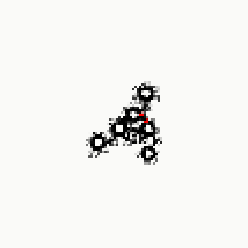 Cc1ccc(Cc2ccccc2)c(C)c1[Si](Cl)(c1c(C)ccc(Cc2ccccc2)c1C)c1c(C)ccc(Cc2ccccc2)c1C